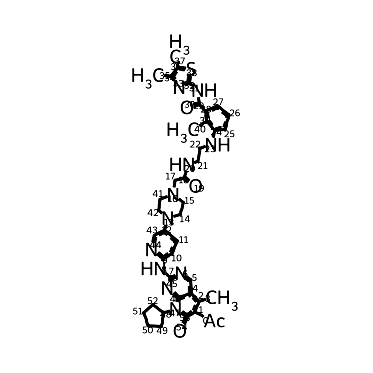 CC(=O)c1c(C)c2cnc(Nc3ccc(N4CCN(CC(=O)NCCNc5cccc(C(=O)Nc6nc(C)c(C)s6)c5C)CC4)cn3)nc2n(C2CCCC2)c1=O